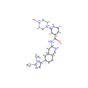 Cc1ncc(-c2ccc3cnc(NC(=O)c4ccnc(N5CCN(I)CC5)c4)cc3c2)n1C